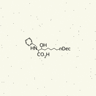 CCCCCCCCCCCCCCCC(O)C(NCc1ccccc1)C(=O)O